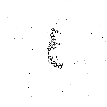 Cc1ncsc1-c1ccc(CNC(=O)[C@@H]2C[C@@H](O)CN2C(=O)[C@@H](c2cc(OCCN3C[C@@H]4[C@H](C3)[C@H]4c3[nH]c4nnc(-c5cc(F)cc(F)c5O)cc4c3C)no2)C(C)C)cc1